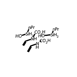 C=CNC(=O)O.C=CNC(=O)O.CCC[SiH2]O.CCC[SiH2]O